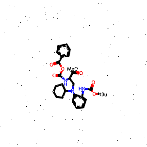 COC(=O)C(CN(c1ccccc1NC(=O)OC(C)(C)C)C1CCCCC1)NC(=O)OC(=O)c1ccccc1